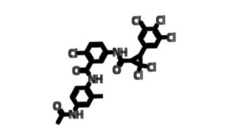 CC(=O)Nc1ccc(NC(=O)c2cc(NC(=O)C3C(c4cc(Cl)c(Cl)c(Cl)c4)C3(Cl)Cl)ccc2Cl)c(C)c1